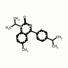 Cc1ccc2c(c1)c(-c1ccc(C(C)C)cc1)nc(=O)n2C(C)C